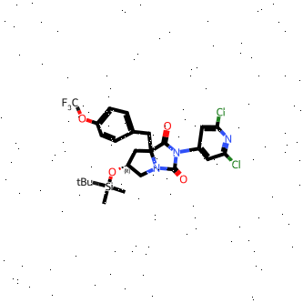 CC(C)(C)[Si](C)(C)O[C@H]1CN2C(=O)N(c3cc(Cl)nc(Cl)c3)C(=O)C2(Cc2ccc(OC(F)(F)F)cc2)C1